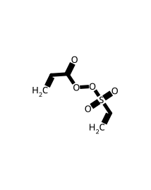 C=CC(=O)OOS(=O)(=O)C=C